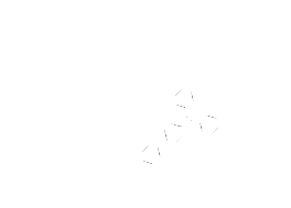 OCCOCCOc1ccc(-c2ccc(N(c3ccccc3)c3ccc(OCCOCCO)cc3)cc2)cc1